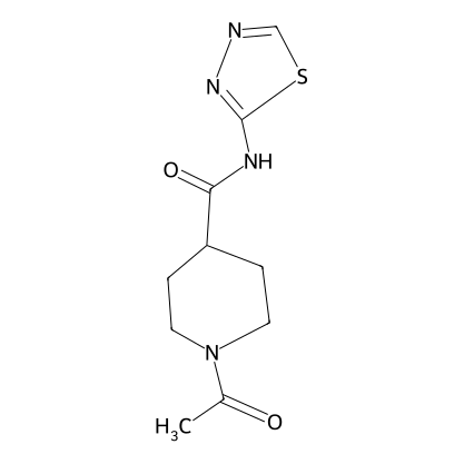 CC(=O)N1CCC(C(=O)Nc2nncs2)CC1